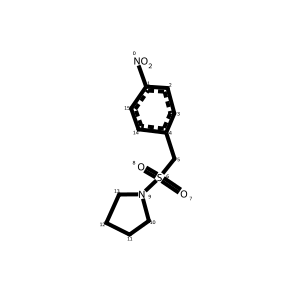 O=[N+]([O-])c1ccc(CS(=O)(=O)N2CCCC2)cc1